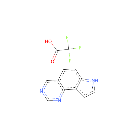 O=C(O)C(F)(F)F.c1ncc2ccc3[nH]ccc3c2n1